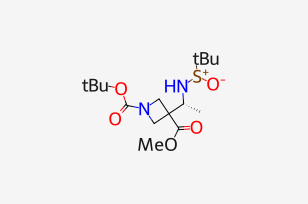 COC(=O)C1([C@@H](C)N[S+]([O-])C(C)(C)C)CN(C(=O)OC(C)(C)C)C1